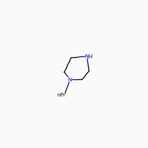 CCCN1[CH]CNCC1